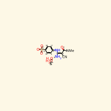 CNC(=O)/C(C#N)=C(/N)Nc1ccc(S(=O)(=O)[O-])cc1.O.O.[K+]